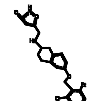 CCc1cccc(Cl)c1COc1ccc2c(c1)CCC(NCc1cc(=O)[nH]o1)C2